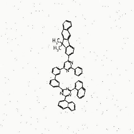 CC1(C)c2cc(-c3cc(-c4cccc(-c5cccc(-c6nc(-c7cccc8ccccc78)nc(-c7cccc8ccccc78)n6)c5)c4)nc(-c4ccccc4)n3)ccc2-c2cc3ccccc3cc21